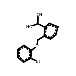 CCc1ccccc1OCc1ccccc1C(O)C#N